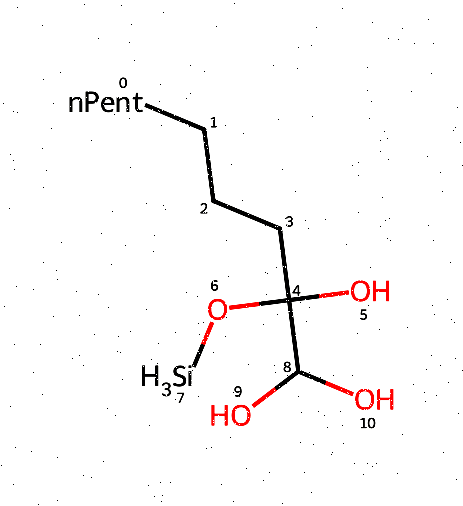 CCCCCCCCC(O)(O[SiH3])C(O)O